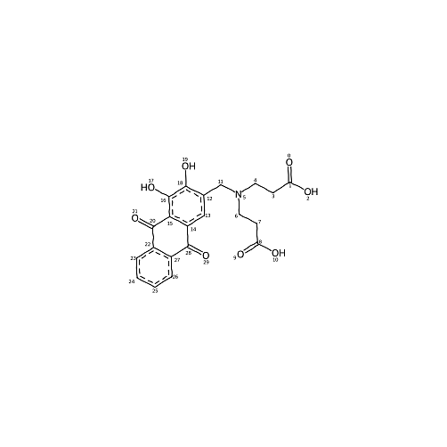 O=C(O)CCN(CCC(=O)O)Cc1cc2c(c(O)c1O)C(=O)c1ccccc1C2=O